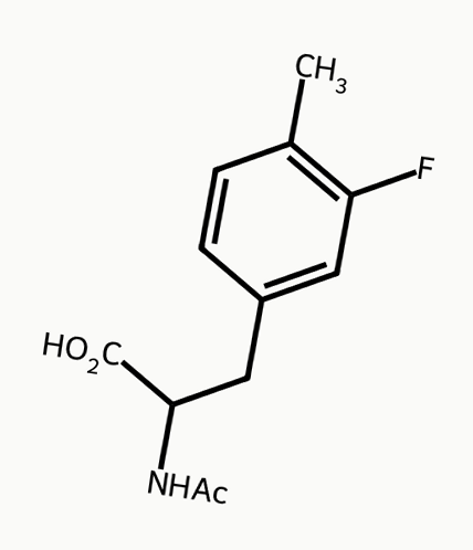 CC(=O)NC(Cc1ccc(C)c(F)c1)C(=O)O